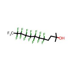 CC(C)(O)CCC(F)(F)C(F)(F)C(F)(F)C(F)(F)C(F)(F)C(F)(F)C(F)(F)C(F)(F)F